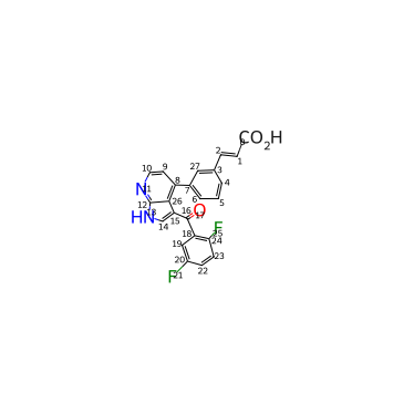 O=C(O)/C=C/c1cccc(-c2ccnc3[nH]cc(C(=O)c4cc(F)ccc4F)c23)c1